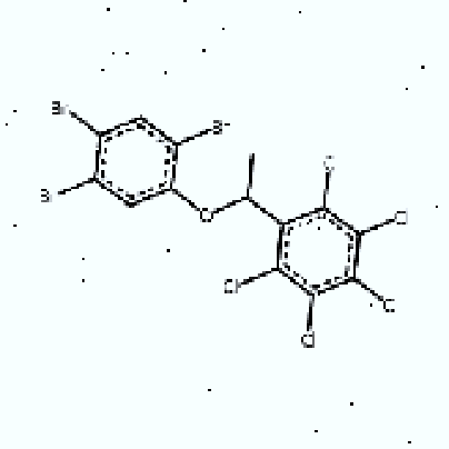 CC(Oc1cc(Br)c(Br)cc1Br)c1c(Cl)c(Cl)c(Cl)c(Cl)c1Cl